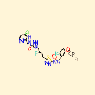 O=C(Cc1cc(OC(F)(F)F)ccc1F)Nc1nnc(CCC(F)Cn2cc(C(=O)NCc3cc(Cl)ccn3)nn2)s1